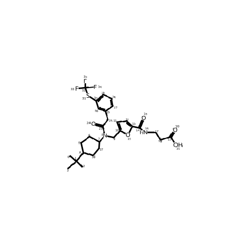 CC(C)(C)C1CCC(N(Cc2ccc(C(=O)NCCC(=O)O)o2)C(=O)Cc2cccc(SC(F)(F)F)c2)CC1